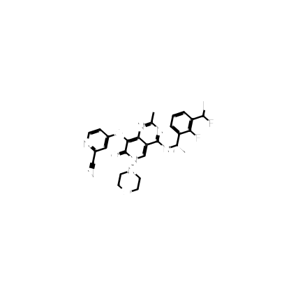 Cc1nc(N[C@H](C)c2cccc(C(F)F)c2F)c2cn(N3CCOCC3)c(=O)c(Oc3ccnc(C#N)c3)c2n1